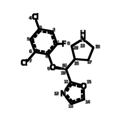 Fc1cc(Cl)cc(Cl)c1O[C@H](c1ncco1)C1CCNC1